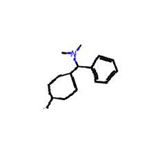 [CH2]C1CCC(C(c2ccccc2)N(C)C)CC1